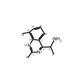 Cc1nc(C(C)N)c2cccc(C)c2n1